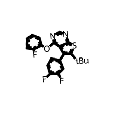 CC(C)(C)c1sc2ncnc(Oc3ccccc3F)c2c1-c1ccc(F)c(F)c1